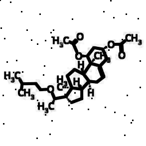 CC(=O)O[C@@H]1CC2=CC[C@H]3[C@@H]4CC[C@H]([C@H](C)OCCC(C)C)[C@@]4(C)CC[C@@H]3[C@@]2(C)[C@@H](OC(C)=O)C1